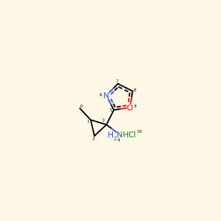 CC1CC1(N)c1ncco1.Cl